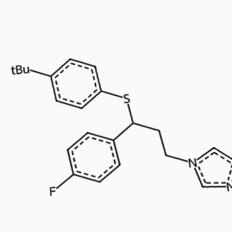 CC(C)(C)c1ccc(SC(CCn2ccnc2)c2ccc(F)cc2)cc1